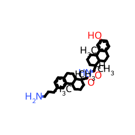 C[C@@]12CCC[C@](C)(C(=O)NC(=O)[C@@]3(C)CCC[C@]4(C)c5cc(CCCN)ccc5CC[C@@H]34)[C@H]1CCc1ccc(O)cc12